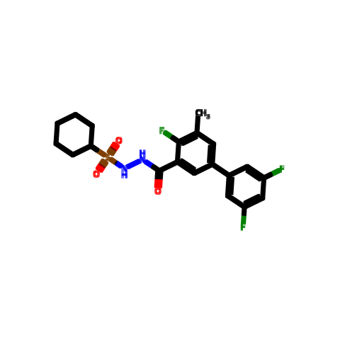 Cc1cc(-c2cc(F)cc(F)c2)cc(C(=O)NNS(=O)(=O)C2CCCCC2)c1F